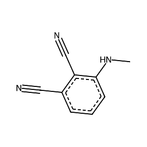 CNc1cccc(C#N)c1C#N